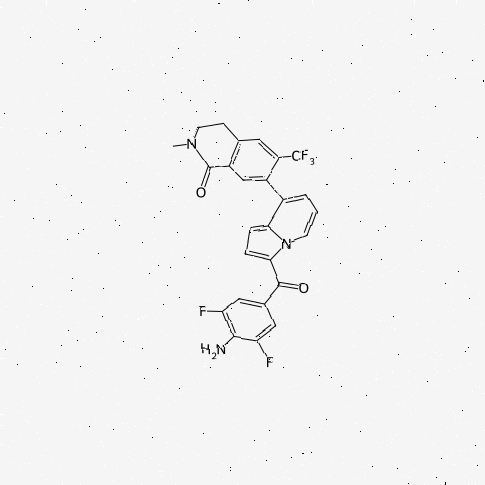 CN1CCc2cc(C(F)(F)F)c(-c3cccn4c(C(=O)c5cc(F)c(N)c(F)c5)ccc34)cc2C1=O